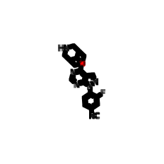 [C-]#[N+]c1ccc(-n2ncc3c(OC4C5CNCC4COC5)ncnc32)c(F)c1